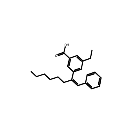 CCCCCCC(=Cc1ccccc1)c1cc(CC)cc(C(=O)O)c1